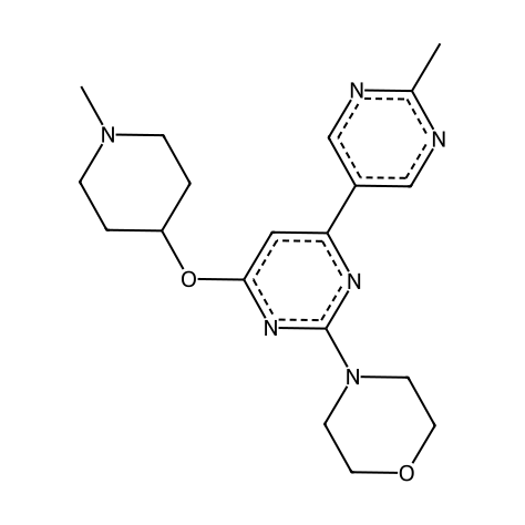 Cc1ncc(-c2cc(OC3CCN(C)CC3)nc(N3CCOCC3)n2)cn1